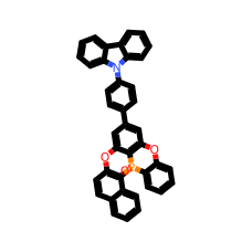 O=P12c3ccccc3Oc3cc(-c4ccc(-n5c6ccccc6c6ccccc65)cc4)cc(c31)Oc1ccc3ccccc3c12